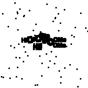 COc1ccc(S(=O)(=O)n2ccc3cc(N4CCNCC4)ccc32)cc1OC.Cl.Cl